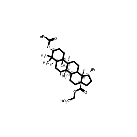 CCCC(=O)O[C@@H]1CC[C@]2(C)[C@H]3CCC4[C@@H]5[C@H](C(C)C)CC[C@]5(C(=O)OCC(=O)O)CC[C@@]4(C)[C@]3(C)CC[C@H]2C1(C)C